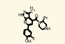 Cc1n[nH]c2nc(-c3ccc(O)c(F)c3)cc(C(=O)N3CCNCC3C(C)C)c12